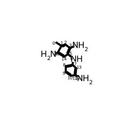 Cc1cc(N)c(Nc2cccc(N)c2)cc1N